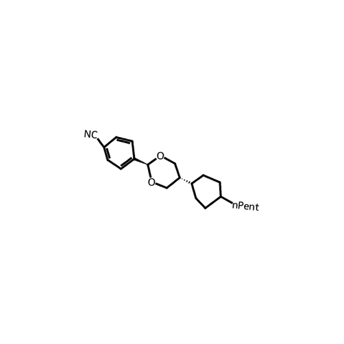 CCCCCC1CCC([C@H]2CO[C@H](c3ccc(C#N)cc3)OC2)CC1